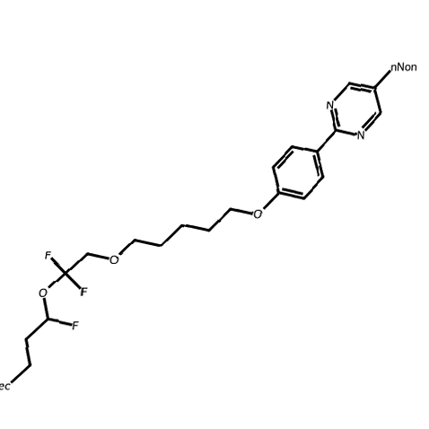 CCCCCCCCCCCCC(F)OC(F)(F)COCCCCCOc1ccc(-c2ncc(CCCCCCCCC)cn2)cc1